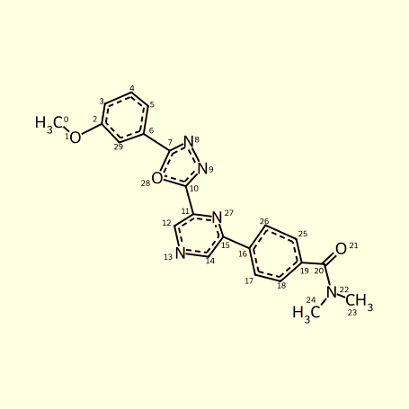 COc1cccc(-c2nnc(-c3cncc(-c4ccc(C(=O)N(C)C)cc4)n3)o2)c1